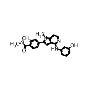 CN(C)C(=O)c1ccc(-c2cc3c(Nc4cccc(O)c4)nccc3n2C)cc1